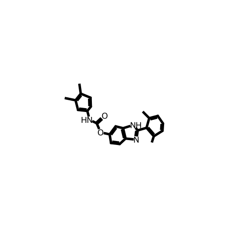 Cc1ccc(NC(=O)Oc2ccc3nc(-c4c(C)cccc4C)[nH]c3c2)cc1C